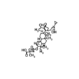 CC(C)C1=C2[C@H]3CC[C@@H]4[C@@]5(C)CC[C@H](OC(=O)CC(C)(C)C(=O)O)C(C)(C)[C@@H]5CC[C@@]4(C)[C@]3(C)CC[C@@]2([C@@H](O)CNC2CC2)CC1=O